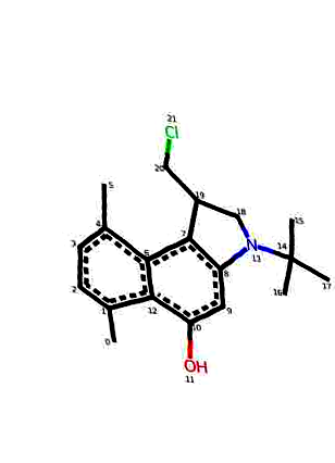 Cc1ccc(C)c2c3c(cc(O)c12)N(C(C)(C)C)CC3CCl